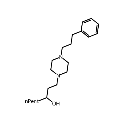 CCCCCC(O)CCN1CCN(CCCc2ccccc2)CC1